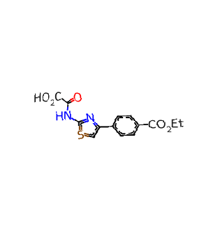 CCOC(=O)c1ccc(-c2csc(NC(=O)C(=O)O)n2)cc1